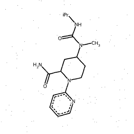 CC(C)NC(=O)N(C)C1CCN(c2cc[c]cn2)C(C(N)=O)C1